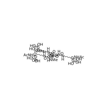 CNC(CC(=O)NC(CC(=O)NCC(=O)NCCCCCCO[C@@H]1OC(CO)[C@H](O)C(O)[C@@H]1NC(C)=O)C(=O)NCC(=O)NCCCCCCO[C@@H]1OC(CO)[C@H](O)C(O)[C@@H]1NC(C)=O)C(=O)NCC(=O)NCCCCCCO[C@@H]1OC(CO)[C@H](O)C(O)[C@@H]1NC(C)=O